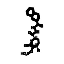 O=C(NNC(=O)[C@@H]1CC[C@@H]2CN1C(=O)N2OS(=O)(=O)O)c1ccc2ccccc2c1